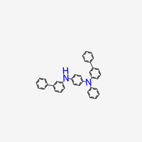 c1ccc(-c2cccc(Nc3ccc(N(c4ccccc4)c4cccc(-c5ccccc5)c4)cc3)c2)cc1